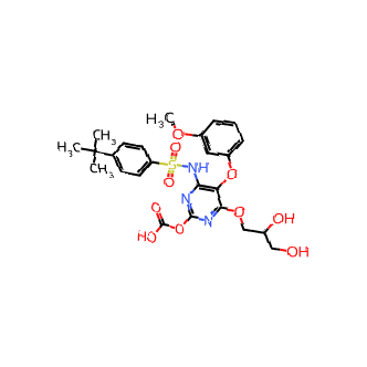 COc1cccc(Oc2c(NS(=O)(=O)c3ccc(C(C)(C)C)cc3)nc(OC(=O)O)nc2OCC(O)CO)c1